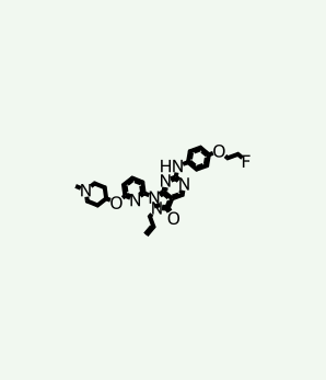 C=CCn1c(=O)c2cnc(Nc3ccc(OCCF)cc3)nc2n1-c1cccc(OC2CCN(C)CC2)n1